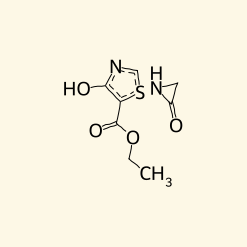 CCOC(=O)c1scnc1O.O=C1CN1